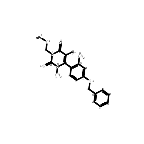 CCCOCn1c(=O)c(CC)c(-c2ccc(OCc3ccccc3)cc2C)n(C)c1=O